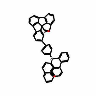 c1ccc(-c2ccccc2N(c2ccc(-c3ccc4c(c3)C35c6ccccc6-c6cccc(c63)-c3cccc-4c35)cc2)c2ccc3ccccc3c2)cc1